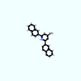 CC(C)c1cc(-c2ccc3ccccc3c2)nc(-c2ccc3ccccc3c2)c1